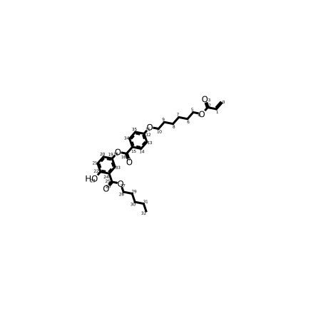 C=CC(=O)OCCCCCCOc1ccc(C(=O)Oc2ccc(O)c(C(=O)OCCCCC)c2)cc1